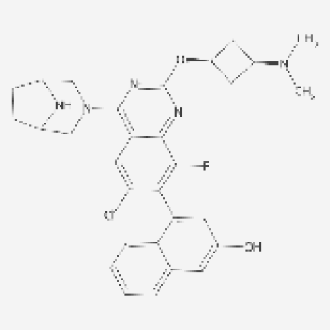 CN(C)[C@H]1C[C@@H](Oc2nc(N3CC4CCC(C3)N4)c3cc(Cl)c(-c4cc(O)cc5ccccc45)c(F)c3n2)C1